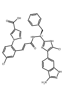 Nc1n[nH]c2cc(-c3nc([C@H](Cc4ccccc4)NC(=O)C=Cc4cc(Cl)ccc4-n4cc(C(=O)O)cn4)[nH]c3Cl)ccc12